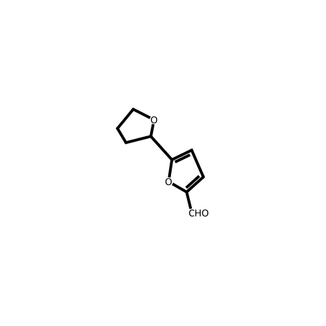 O=Cc1ccc(C2CCCO2)o1